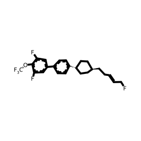 FCC=CCC[C@H]1CC[C@H](c2ccc(-c3cc(F)c(OC(F)(F)F)c(F)c3)cc2)CC1